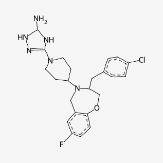 NC1NN=C(N2CCC(N3Cc4cc(F)ccc4OCC3Cc3ccc(Cl)cc3)CC2)N1